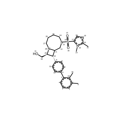 Cc1cccc(-c2ccc([C@H]3C4CN(S(=O)(=O)c5cnc(C)n5C)CCCCN4[C@@H]3CO)cc2)c1C